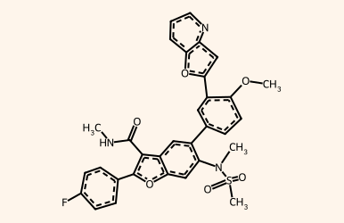 CNC(=O)c1c(-c2ccc(F)cc2)oc2cc(N(C)S(C)(=O)=O)c(-c3ccc(OC)c(-c4cc5ncccc5o4)c3)cc12